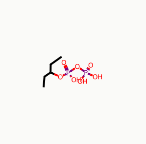 CCC(CC)OP(=O)(O)OP(=O)(O)O